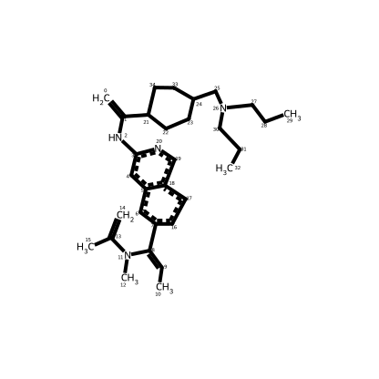 C=C(Nc1cc2cc(/C(=C/C)N(C)C(=C)C)ccc2cn1)C1CCC(CN(CCC)CCC)CC1